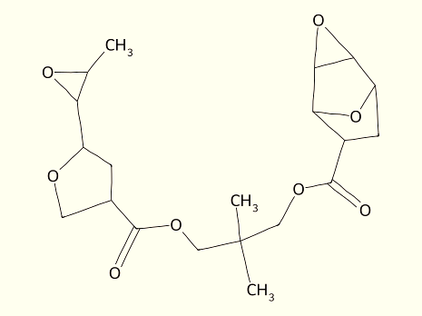 CC1OC1C1CC(C(=O)OCC(C)(C)COC(=O)C2CC3OC2C2OC32)CO1